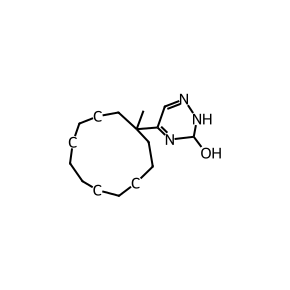 CC1(C2=NC(O)NN=C2)CCCCCCCCCCC1